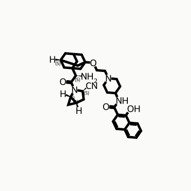 N#C[C@@H]1C[C@@H]2C[C@@H]2N1C(=O)[C@@H](N)C12CC3C[C@H](CC(OCCN4CCC(NC(=O)c5ccc6ccccc6c5O)CC4)(C3)C1)C2